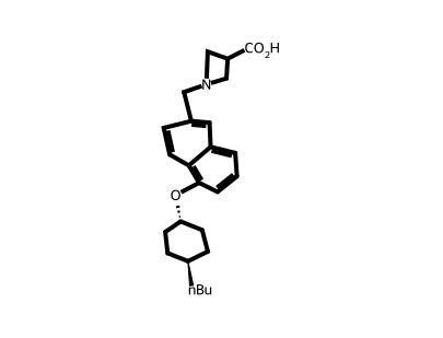 CCCC[C@H]1CC[C@H](Oc2cccc3cc(CN4CC(C(=O)O)C4)ccc23)CC1